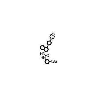 CC(C)(C)c1cccc(NC(=O)Nc2ccc(-c3ccc(N4CCOCC4)cc3)c3ccccc23)c1